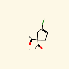 COC(=O)C1(C(=O)OC)CC=C(Br)C1